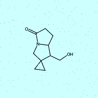 O=C1CCC2C(CO)C3(CC3)CN12